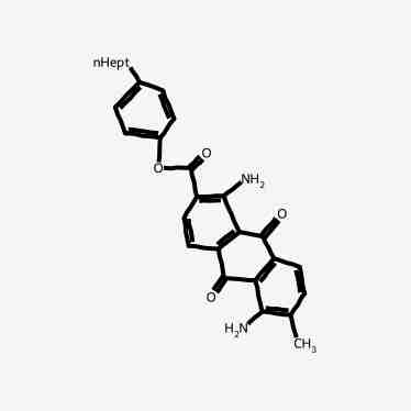 CCCCCCCc1ccc(OC(=O)c2ccc3c(c2N)C(=O)c2ccc(C)c(N)c2C3=O)cc1